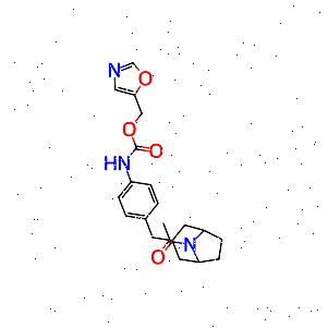 CC(=O)N1C2CCC1CC(Cc1ccc(NC(=O)OCc3cnco3)cc1)C2